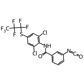 O=C=Nc1cccc(C(=O)Nc2c(Cl)cc(SC(F)(F)C(F)(F)C(F)(F)F)cc2Cl)c1